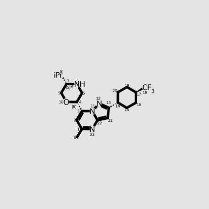 Cc1cc([C@H]2CN[C@@H](C(C)C)CO2)n2nc([C@H]3CC[C@H](C(F)(F)F)CC3)cc2n1